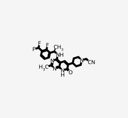 Cc1nc(N[C@H](C)c2cccc(C(F)F)c2F)c2cc(C3CCN(CC#N)CC3)c(=O)[nH]c2n1